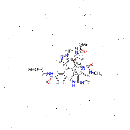 COCCNC(=O)c1ccc(-c2[nH]c3ncc4c(c3c2-c2ccc3c(cnn3C(C)C)c2)n([C@@H]2CC[C@@H](NC(=O)OC)C2)c(=O)n4C)cc1